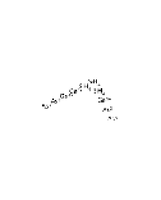 [As-3].[As-3].[As-3].[As-3].[Ge+4].[Ge+4].[Ge+4].[SiH4].[SiH4].[SiH4]